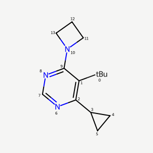 CC(C)(C)c1c(C2CC2)ncnc1N1CCC1